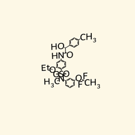 CCOc1cc(NC(=O)C(O)c2ccc(C)cc2)ccc1S(=O)(=O)N(C)c1cccc(OC(C)(F)F)c1